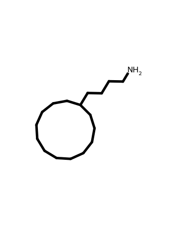 NCCCCC1CCCCCCCCCCCC1